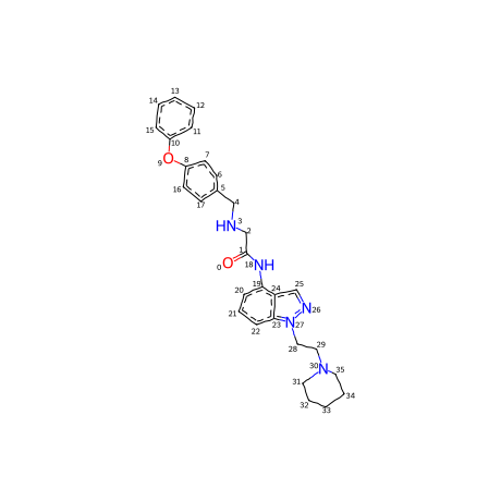 O=C(CNCc1ccc(Oc2ccccc2)cc1)Nc1cccc2c1cnn2CCN1CCCCC1